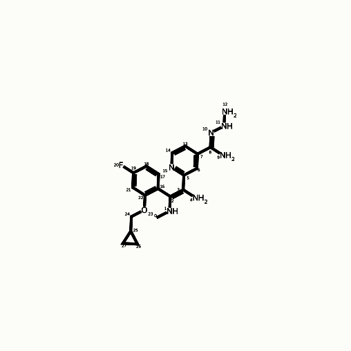 CN/C(=C(\N)c1cc(/C(N)=N/NN)ccn1)c1ccc(F)cc1OCC1CC1